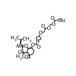 CO[C@@H]1[C@H](OC(=O)N2CC(OCC(=O)OCOC(=O)C(C)(C)C)C2)CC[C@]2(CO2)[C@H]1[C@@]1(C)OC1CC=C(C)C